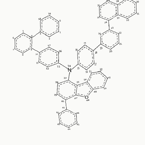 c1ccc(-c2ccccc2-c2ccc(N(c3ccc(-c4cccc(-c5cccc6ccccc56)c4)cc3)c3ccc(-c4ccccc4)c4oc5ccccc5c34)cc2)cc1